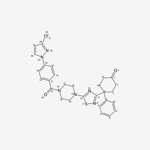 O=C1CCC(c2ccccc2)(c2nsc(N3CCN(C(=O)c4ccc(-n5ccc(C(F)(F)F)n5)cc4)CC3)n2)CC1